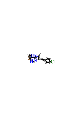 CC(CC#Cc1ccc(Cl)cc1)Nc1ncnc2sccc12